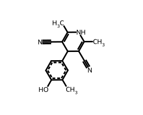 CC1=C(C#N)C(c2ccc(O)c(C)c2)C(C#N)=C(C)N1